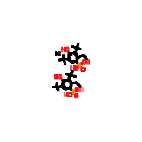 CCc1c(P(=O)(O)O)cc(C(C)(C)C)c(O)c1C(C)(C)C.CCc1c(P(=O)(O)O)cc(C(C)(C)C)c(O)c1C(C)(C)C.[Ni]